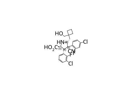 N#C[C@]1(c2ccc(Cl)cc2F)[C@H](c2cccc(Cl)c2F)[C@@H](C(=O)O)N[C@@H]1CC1(CO)CCC1